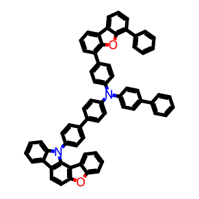 c1ccc(-c2ccc(N(c3ccc(-c4ccc(-n5c6ccccc6c6ccc7oc8ccccc8c7c65)cc4)cc3)c3ccc(-c4cccc5c4oc4c(-c6ccccc6)cccc45)cc3)cc2)cc1